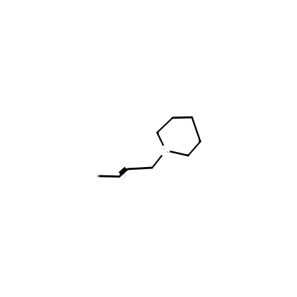 I/C=C/CN1CCCCC1